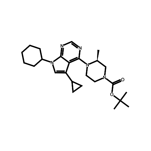 C[C@H]1CN(C(=O)OC(C)(C)C)CCN1c1ncnc2c1c(C1CC1)cn2C1CCCCC1